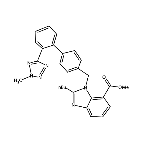 CCCCc1nc2cccc(C(=O)OC)c2n1Cc1ccc(-c2ccccc2-c2nnn(C)n2)cc1